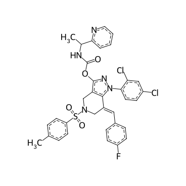 Cc1ccc(S(=O)(=O)N2C/C(=C\c3ccc(F)cc3)c3c(c(OC(=O)NC(C)c4ccccn4)nn3-c3ccc(Cl)cc3Cl)C2)cc1